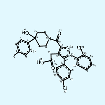 Cc1ccc(C2(O)CCN(C(=O)c3nn(-c4ccccc4Cl)c(-c4ccc(Cl)cc4)c3CC(=O)O)CC2)nc1